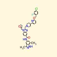 Cc1n[nH]c2c(C)cc(NC(=O)c3ccc4c(c3)nc(CN3CC=C(c5cccc(OCc6ccc(Cl)cc6F)n5)CC3)n4C[C@@H]3CCO3)cc12